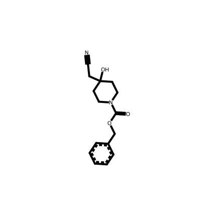 N#CCC1(O)CCN(C(=O)OCc2ccccc2)CC1